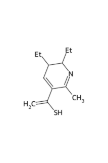 C=C(S)C1=CC(CC)C(CC)N=C1C